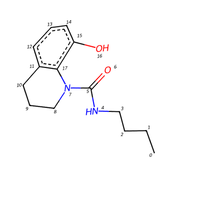 CCCCNC(=O)N1CCCc2cccc(O)c21